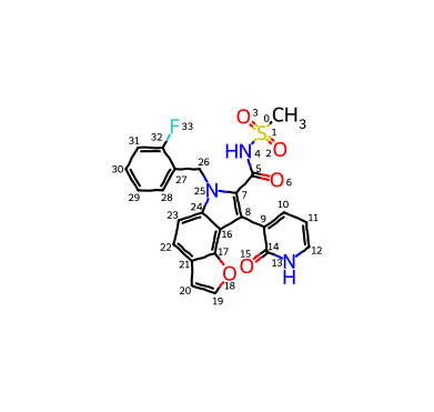 CS(=O)(=O)NC(=O)c1c(-c2ccc[nH]c2=O)c2c3occc3ccc2n1Cc1ccccc1F